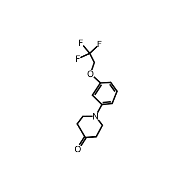 O=C1CCN(c2cccc(OCC(F)(F)F)c2)CC1